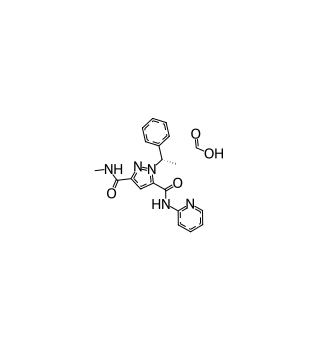 CNC(=O)c1cc(C(=O)Nc2ccccn2)n([C@@H](C)c2ccccc2)n1.O=CO